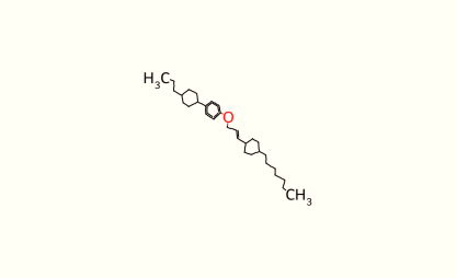 CCCCCCCC1CCC(C=CCOc2ccc(C3CCC(CCC)CC3)cc2)CC1